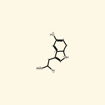 CNC(CC1=CNC2CC=C(O)C=C12)C(C)=O